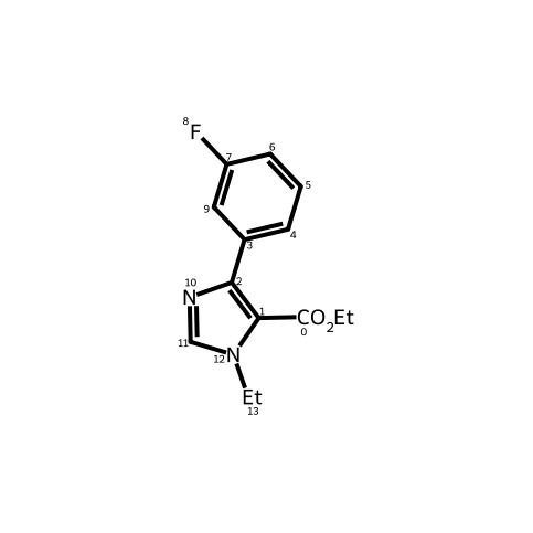 CCOC(=O)c1c(-c2cccc(F)c2)ncn1CC